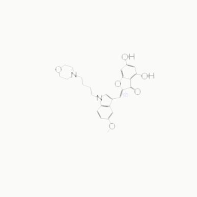 COc1ccc2c(c1)c(/C=C1\Oc3cc(O)cc(O)c3C1=O)cn2CCCCN1CCOCC1